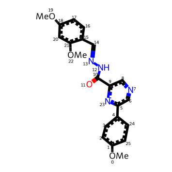 COc1ccc(-c2cncc(C(=O)N/N=C/c3ccc(OC)cc3OC)n2)cc1